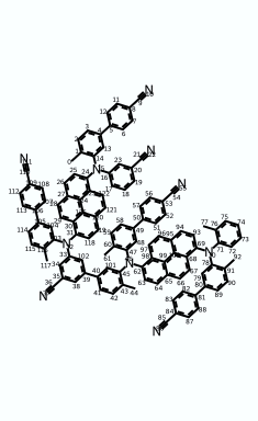 Cc1ccc(-c2ccc(C#N)cc2)cc1N(c1cccc(C#N)c1)c1ccc2ccc3c(N(c4cc(C#N)cc(-c5ccc(C)c(N(c6cc(-c7ccc(C#N)cc7)ccc6C)c6ccc7ccc8c(N(c9ccccc9C)c9cc(-c%10ccc(C#N)cc%10)ccc9C)ccc9ccc6c7c98)c5)c4)c4cc(-c5ccc(C#N)cc5)ccc4C)ccc4ccc1c2c43